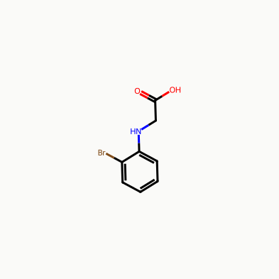 O=C(O)CNc1ccccc1Br